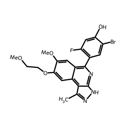 COCCOc1cc2c(cc1OC)c(-c1cc(Br)c(O)cc1F)nc1[nH]nc(C)c12